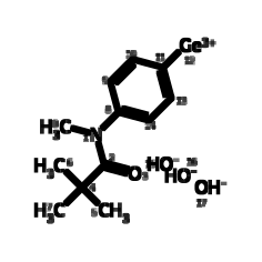 CN(C(=O)C(C)(C)C)c1cc[c]([Ge+3])cc1.[OH-].[OH-].[OH-]